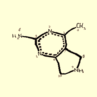 Cc1nc(N)nc2c1CNC2